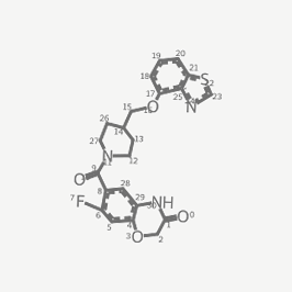 O=C1COc2cc(F)c(C(=O)N3CCC(COc4cccc5scnc45)CC3)cc2N1